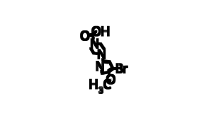 COc1cnc(N2CCN(C(=O)O)CC2)cc1Br